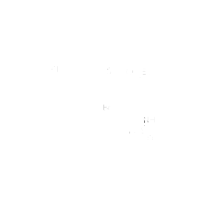 CCOC(=O)c1sc(-c2ccc(Cl)cc2)c(CBr)c1-c1ccc(N[SH](=O)=O)cc1